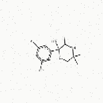 CCCc1cc(CCC)cc(C2(O)OCC(C)(C)NC2C)c1